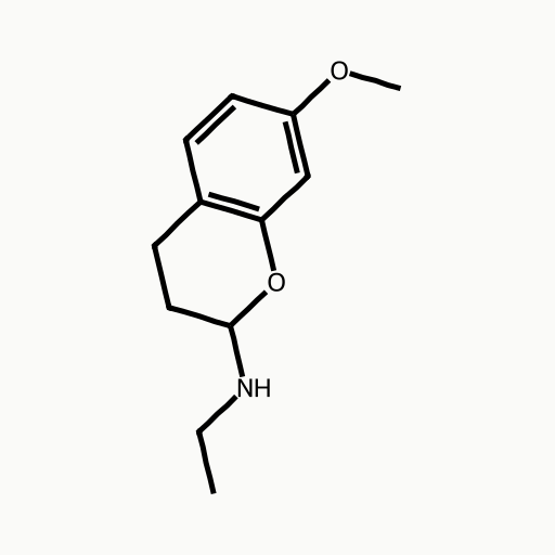 CCNC1CCc2ccc(OC)cc2O1